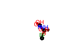 CC(C)Oc1cc(OCC(F)(F)c2ccccc2)cc(C(=O)Nc2ccc(C(=O)O)cn2)c1